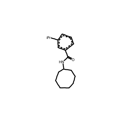 CC(C)c1cccc(C(=O)NC2CCCCCCC2)c1